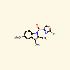 COc1ccc2c(c1)c(OC(C)=O)c(C)n2C(=O)c1csc(Cl)n1